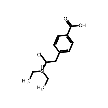 CC[SiH](CC)C(Cl)Cc1ccc(C(=O)O)cc1